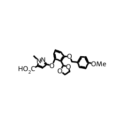 COc1ccc(COc2cccc(Oc3cc(C(=O)O)n(C)n3)c2C2OCCO2)cc1